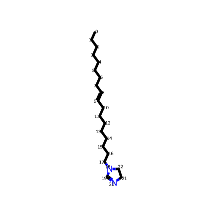 CCCCCCCCC=CCCCCCCCCN1C=NCC1